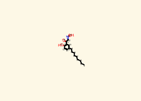 CCCCCCCCCc1ccc(O)c(C(=O)C=NO)c1